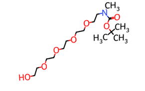 CN(CCOCCOCCOCCOCCO)C(=O)OC(C)(C)C